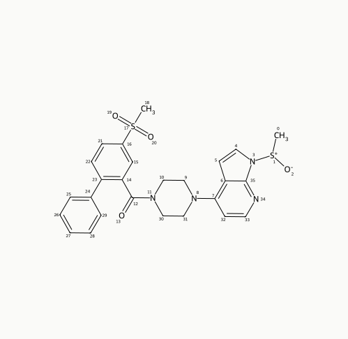 C[S+]([O-])n1ccc2c(N3CCN(C(=O)c4cc(S(C)(=O)=O)ccc4-c4ccccc4)CC3)ccnc21